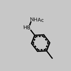 CC(=O)NBc1ccc(C)cc1